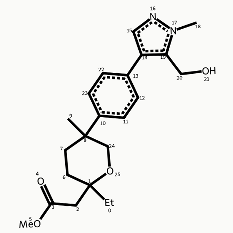 CCC1(CC(=O)OC)CCC(C)(c2ccc(-c3cnn(C)c3CO)cc2)CO1